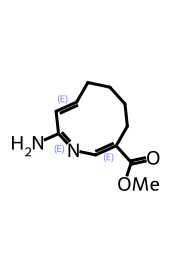 COC(=O)/C1=C/N=C(N)\C=C\CCCC1